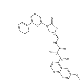 COc1ccc2nccc([C@@H](O)[C@H](O)C(=O)NC[C@H]3CN(C4=COC=C(C5=CC=CCC5)O4)C(=O)O3)c2n1